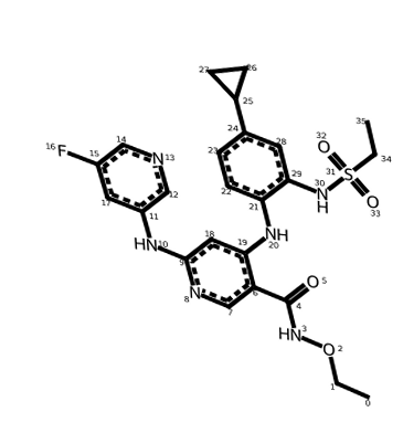 CCONC(=O)c1cnc(Nc2cncc(F)c2)cc1Nc1ccc(C2CC2)cc1NS(=O)(=O)CC